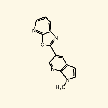 Cn1ccc2cc(-c3nc4cccnc4o3)cnc21